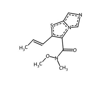 CC=Cc1sc2cncn2c1C(=O)N(C)OC